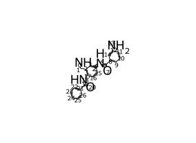 NCc1cc(NC(=O)c2cccc(N)c2)ccc1NC(=O)c1ccccc1